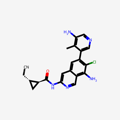 Cc1c(N)cncc1-c1cc2cc(NC(=O)[C@H]3C[C@@H]3CC#N)ncc2c(N)c1Cl